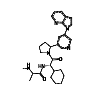 CNC(C)C(=O)N[C@H](C(=O)N1CCCC1c1cncc(-n2ccc3cccnc32)c1)C1CCCCC1